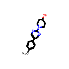 COc1ccc(-c2cnc(N3CCC(O)CC3)nc2)cc1